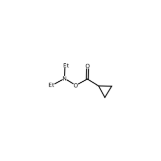 CCN(CC)OC(=O)[C]1CC1